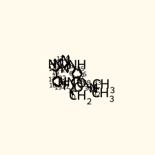 C=CC(=O)Nc1cc(Nc2ncn3ncc(-c4cccc(F)c4)c3n2)ccc1OCCN(C)C